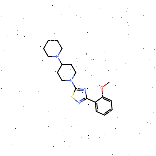 COc1ccccc1-c1nsc(N2CCC(N3CCCCC3)CC2)n1